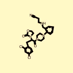 N#CCCNCc1ccccc1N1CCN(C(=O)C(Cc2ccc(Cl)cc2Cl)N2CCOC2=O)CC1